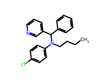 CCCCN(c1ccc(Cl)cc1)C(c1ccccc1)c1cccnc1